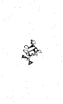 COC(=O)c1cc(Cl)cc(NC(=O)N(C2CC2)C2CC2)c1Cl